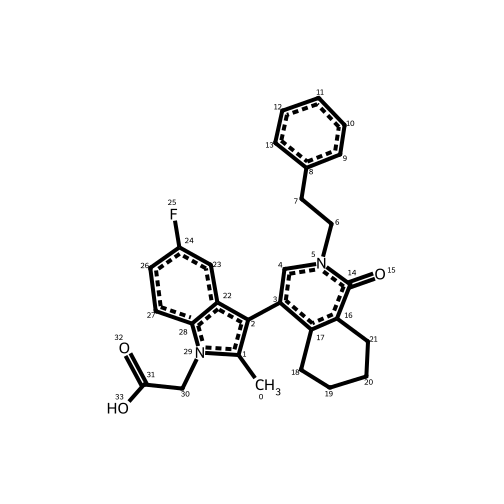 Cc1c(-c2cn(CCc3ccccc3)c(=O)c3c2CCCC3)c2cc(F)ccc2n1CC(=O)O